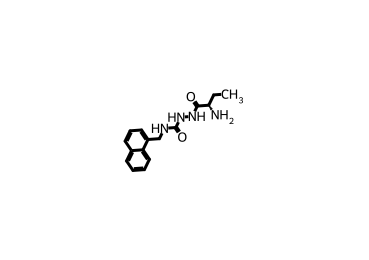 CC[C@@H](N)C(=O)NNC(=O)NCc1cccc2ccccc12